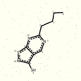 CCCCc1ncc2c(S)nsc2n1